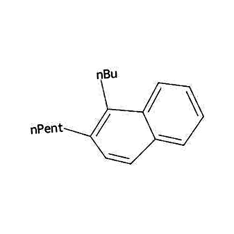 CCCCCc1ccc2ccccc2c1CCCC